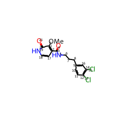 COc1c(C(=O)NCCCc2ccc(Cl)c(Cl)c2)cc[nH]c1=O